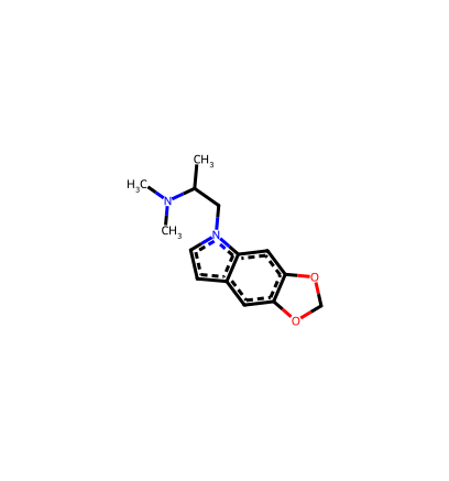 CC(Cn1ccc2cc3c(cc21)OCO3)N(C)C